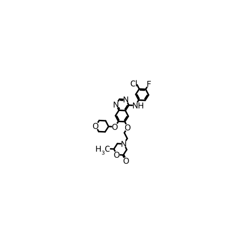 CC1CN(CCOc2cc3c(Nc4ccc(F)c(Cl)c4)ncnc3cc2OC2CCOCC2)CC(=O)O1